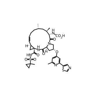 Cc1cc(O[C@@H]2C[C@H]3C(=O)N[C@]4(C(=O)NS(=O)(=O)C5(C)CC5)C[C@H]4C=CCC[C@H](C)C[C@@H](C)[C@H](NC(=O)O)C(=O)N3C2)cc(-c2cncs2)n1